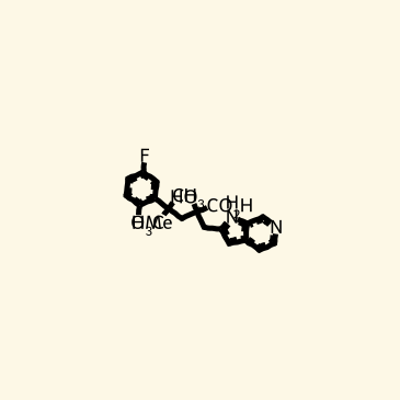 COc1ccc(F)cc1C(C)(C)CC(O)(Cc1cc2ccncc2[nH]1)C(=O)O